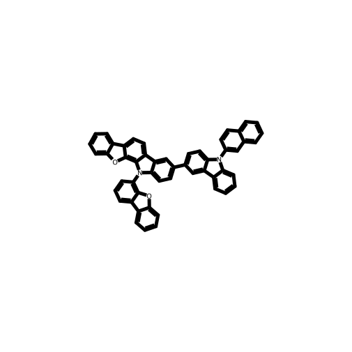 c1ccc2cc(-n3c4ccccc4c4cc(-c5ccc6c(c5)c5ccc7c8ccccc8oc7c5n6-c5cccc6c5oc5ccccc56)ccc43)ccc2c1